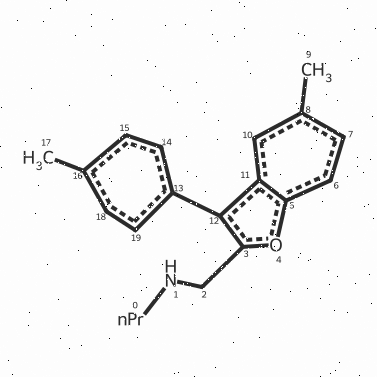 CCCNCc1oc2ccc(C)cc2c1-c1ccc(C)cc1